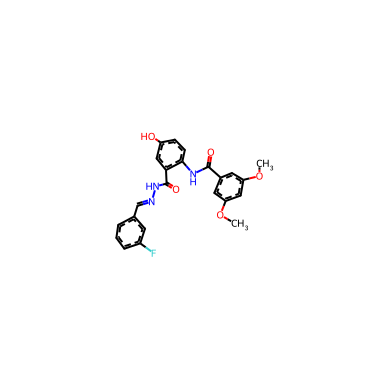 COc1cc(OC)cc(C(=O)Nc2ccc(O)cc2C(=O)N/N=C/c2cccc(F)c2)c1